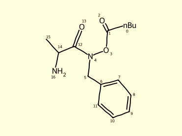 CCCCC(=O)ON(Cc1ccccc1)C(=O)C(C)N